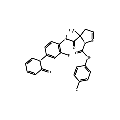 CC1(C(=O)Nc2ccc(-n3ccccc3=O)cc2F)CC=NN1C(=O)Nc1ccc(Cl)cc1